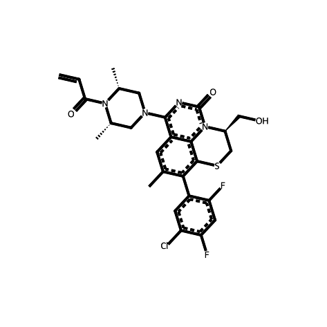 C=CC(=O)N1[C@H](C)CN(c2nc(=O)n3c4c(c(-c5cc(Cl)c(F)cc5F)c(C)cc24)SC[C@@H]3CO)C[C@@H]1C